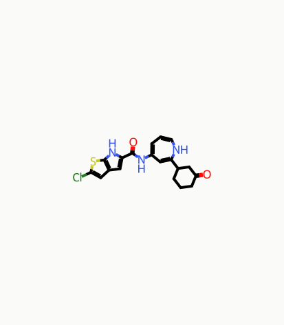 O=C1CCCC(C2=CC(NC(=O)c3cc4cc(Cl)sc4[nH]3)=CC=CN2)C1